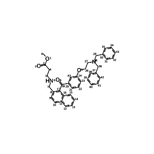 COC(=O)CCNCc1ccc2ccccc2c1C(=O)c1cccc(OCCN(Cc2ccccc2)Cc2ccccc2)c1